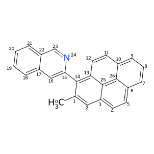 Cc1cc2ccc3cccc4ccc(c1-c1cc5ccccc5cn1)c2c34